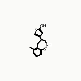 Cc1cccc2c1CC(c1csc(O)c1)CNS2